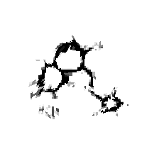 Cl.Clc1ccc2c(c1CSc1nccs1)CCNCC2